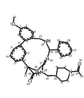 COc1ccc2c(c1)-c1cccc(c1)C1(C)N/C(=N\C(c3ccccc3)NC2)N(CC2CCN(C(C)=O)CC2)C1=O